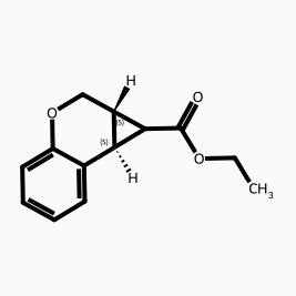 CCOC(=O)C1[C@H]2COc3ccccc3[C@H]12